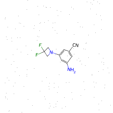 N#Cc1cc(N)cc(N2CC(F)(F)C2)c1